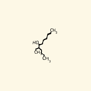 CC=CCCCC(O)C(CC)CCCC